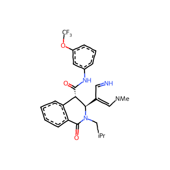 CN/C=C(\C=N)[C@@H]1[C@@H](C(=O)Nc2cccc(OC(F)(F)F)c2)c2ccccc2C(=O)N1CC(C)C